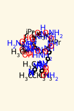 Cc1ccc(N(C(=O)NCc2ccc(-c3ccc(C[C@H]4NC(=O)C(CCN)NC(=O)[C@@H](NC(=O)CNC(=O)[C@@H](NC(=O)[C@@H](CCN)NC(=O)CCCCCC(C)C)[C@@H](C)O)CCNC(=O)[C@H]([C@@H](C)O)NC(=O)CNC(=O)[C@H](CCN)NC(=O)[C@H](CC(C)C)NC4=O)cc3)cc2)c2nccc(N(C)c3ccc4c(C)n(C)nc4c3)n2)cc1S(N)(=O)=O